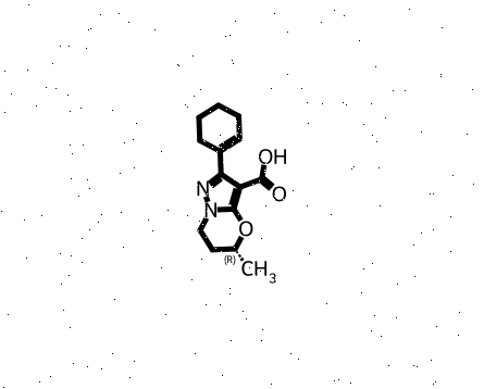 C[C@@H]1CCn2nc(C3=CCCCC3)c(C(=O)O)c2O1